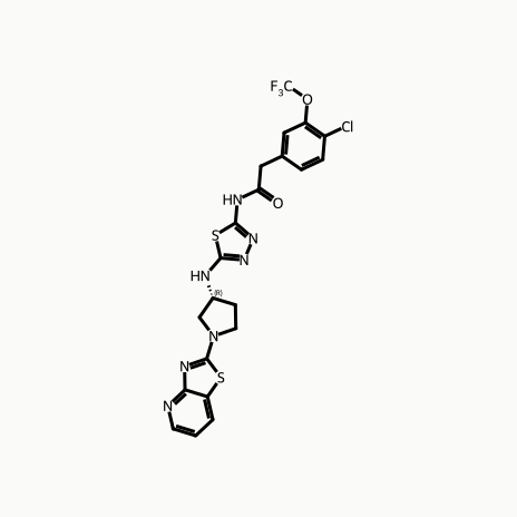 O=C(Cc1ccc(Cl)c(OC(F)(F)F)c1)Nc1nnc(N[C@@H]2CCN(c3nc4ncccc4s3)C2)s1